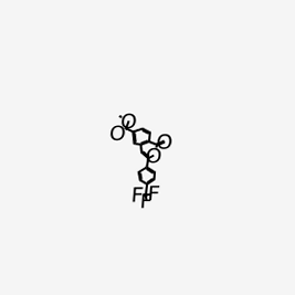 COC(=O)c1ccc2c(=O)oc(-c3ccc(C(F)(F)F)cc3)cc2c1